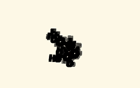 COc1ccc(Nc2c(-c3ccc(OC(F)(F)F)cc3)c(C)nn2-c2ccccc2C)c(C(=O)O)c1